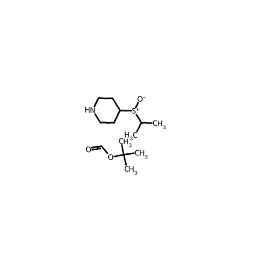 CC(C)(C)OC=O.CC(C)[S+]([O-])C1CCNCC1